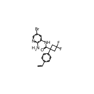 C=Cc1ccc(C2(C(=O)Nc3cc(Br)cnc3N)CC(F)(F)C2)cc1